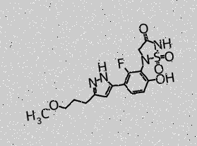 COCCCc1cc(-c2ccc(O)c(N3CC(=O)NS3(=O)=O)c2F)[nH]n1